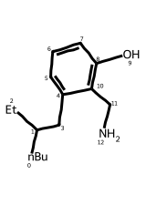 CCCCC(CC)Cc1cccc(O)c1CN